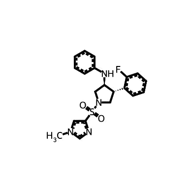 Cn1cnc(S(=O)(=O)N2C[C@@H](Nc3ccccc3)[C@H](c3ccccc3F)C2)c1